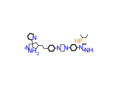 C=C(PC(C)CC)N(C=N)c1ccc(N2CCN(c3ccc(CCC4CCC(CN(C)N)(c5ccccn5)C4)cc3)CC2)cc1